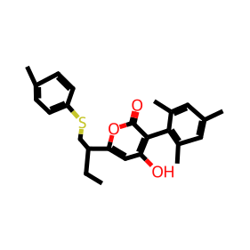 CCC(CSc1ccc(C)cc1)c1cc(O)c(-c2c(C)cc(C)cc2C)c(=O)o1